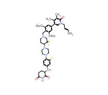 C/C=C/Cn1cc(-c2cc(OC)c(CN3CCC(N4CCN(c5ccc(NC6CCC(=O)NC6=O)cc5F)CC4)C(F)(F)C3)c(OC)c2)c(C)c(C)c1=O